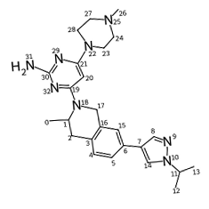 CC1Cc2ccc(-c3cnn(C(C)C)c3)cc2CN1c1cc(N2CCN(C)CC2)nc(N)n1